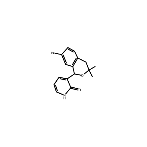 CC1(C)Cc2ccc(Br)cc2C(c2ccc[nH]c2=O)O1